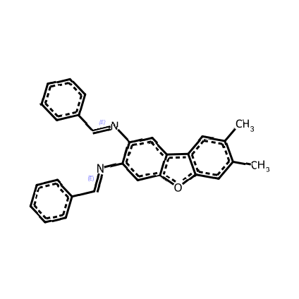 Cc1cc2oc3cc(/N=C/c4ccccc4)c(/N=C/c4ccccc4)cc3c2cc1C